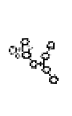 C1=CC2=C(CC1)Oc1cc(-c3cccc(N(c4ccc(-c5ccccc5)cc4)c4ccc(-c5ccccc5)cc4)c3)cc3c1N2c1ccccc1O3